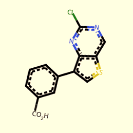 O=C(O)c1cccc(-c2csc3cnc(Cl)nc23)c1